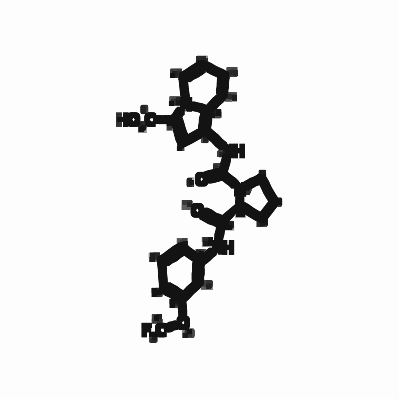 O=C(O)c1cc(NC(=O)N2CCC[C@H]2C(=O)Nc2cccc(OC(F)(F)F)c2)c2ccccn12